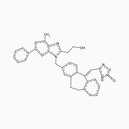 Cc1cc(-c2ccccc2)cc2c1nc(CCO)n2Cc1ccc2c(c1)CCc1ccccc1/C2=C\c1noc(=O)[nH]1